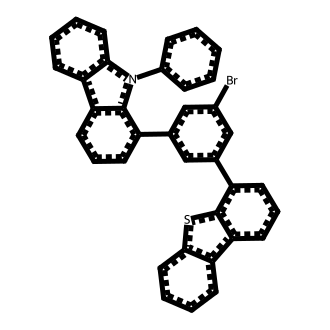 Brc1cc(-c2cccc3c2sc2ccccc23)cc(-c2cccc3c4ccccc4n(-c4ccccc4)c23)c1